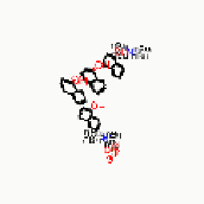 CCCC[N+](CCCC)(CCCC)CCCC.CCCC[N+](CCCC)(CCCC)CCCC.O=S(=O)([O-])[O-].Oc1cccc2ccccc12.Oc1cccc2ccccc12.Oc1cccc2ccccc12.Oc1cccc2ccccc12